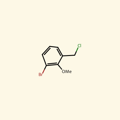 COc1c(Br)cccc1CCl